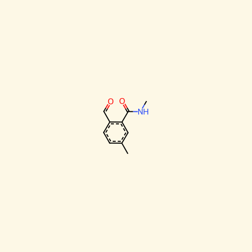 CNC(=O)c1cc(C)ccc1C=O